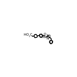 O=C(O)CC1CCC(c2ccc(C(=O)Nc3noc(Cc4ccccc4)n3)cc2)CC1